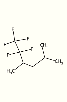 CC(C)CC(C)C(F)(F)C(F)(F)F